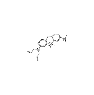 C=CCN(CC=C)c1ccc2c(c1)[Si](C)(C)c1cc(N(C)C)ccc1C2